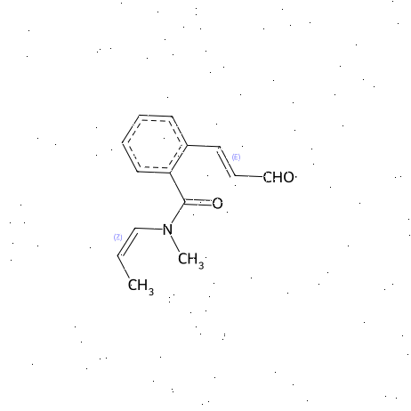 C/C=C\N(C)C(=O)c1ccccc1/C=C/[C]=O